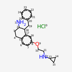 Cl.NC1CCc2ccc(OCCNC3CC3)cc2C1Cc1ccccc1